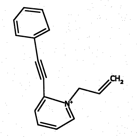 C=CC[n+]1ccccc1C#Cc1ccccc1